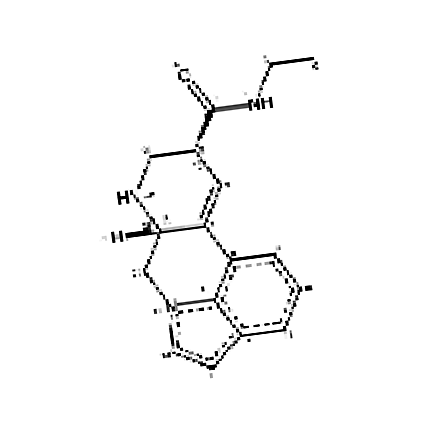 CCNC(=O)[C@H]1C=C2c3cccc4ccn(c34)C[C@@H]2NC1